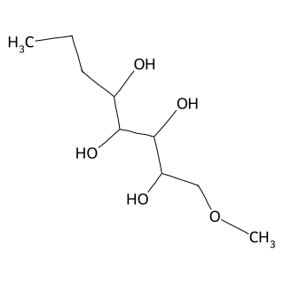 CCCC(O)C(O)C(O)C(O)COC